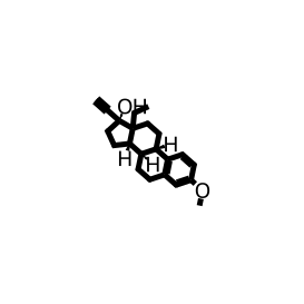 C#C[C@]1(O)CC[C@H]2[C@@H]3CCc4cc(OC)ccc4[C@H]3CCC21CC